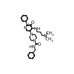 CN(C)CCCNc1c(N2CCN(C(=O)NCc3ccccc3)CC2)cnn(-c2ccccc2)c1=O